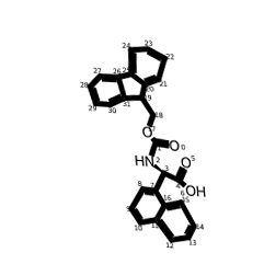 O=C(N[C@@H](C(=O)O)c1cccc2ccccc12)OCC1c2ccccc2-c2ccccc21